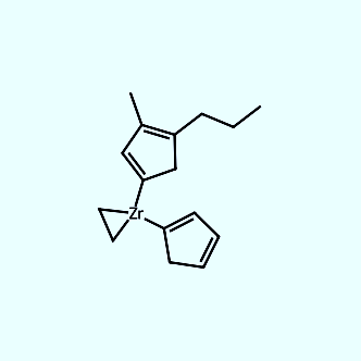 CCCC1=C(C)C=[C]([Zr]2([C]3=CC=CC3)[CH2][CH2]2)C1